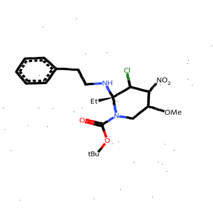 CC[C@@]1(NCCc2ccccc2)C(Cl)C([N+](=O)[O-])C(OC)CN1C(=O)OC(C)(C)C